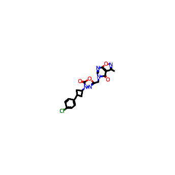 Cc1noc2ncn(Cc3nn(C4CC(c5ccc(Cl)cc5)C4)c(=O)o3)c(=O)c12